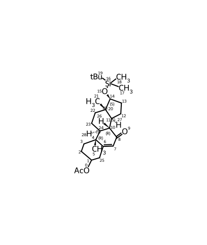 CC(=O)OC1CC[C@@]2(C)C(=CC(=O)[C@H]3[C@@H]4CC[C@H](O[Si](C)(C)C(C)(C)C)[C@@]4(C)CC[C@@H]32)C1